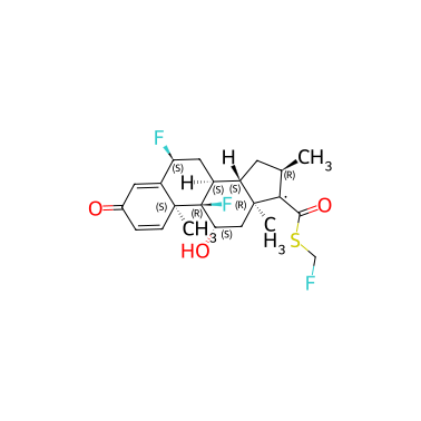 C[C@@H]1C[C@H]2[C@@H]3C[C@H](F)C4=CC(=O)C=C[C@]4(C)[C@@]3(F)[C@@H](O)C[C@]2(C)[C]1C(=O)SCF